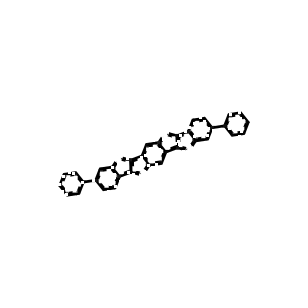 c1ccc(-c2ccc3c(c2)sc2c4cc5sc6c7ccc(-c8ccccc8)cc7sc6c5cc4sc32)cc1